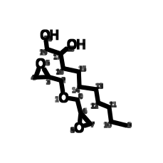 C(OCC1CO1)C1CO1.CCCCCCCCC(O)CO